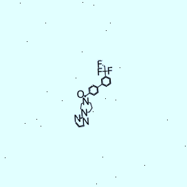 O=C(c1ccc(-c2cccc(C(F)(F)CF)c2)cc1)N1CCCN(c2ncccn2)CC1